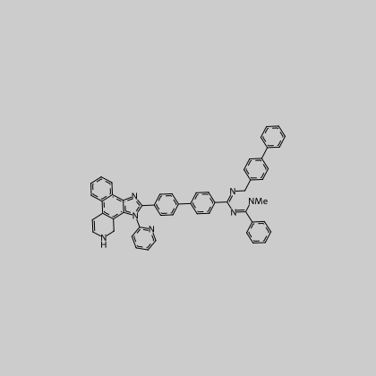 CN/C(=N\C(=N/Cc1ccc(-c2ccccc2)cc1)c1ccc(-c2ccc(-c3nc4c5ccccc5c5c(c4n3-c3ccccn3)CNC=C5)cc2)cc1)c1ccccc1